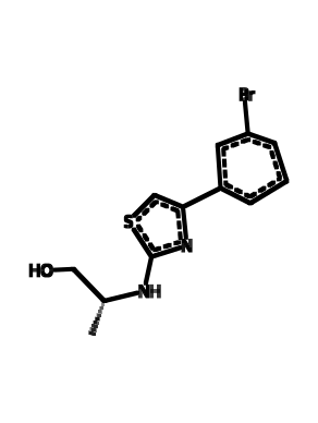 C[C@H](CO)Nc1nc(-c2cccc(Br)c2)cs1